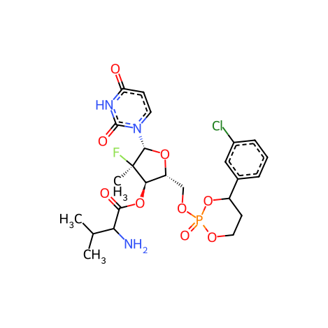 CC(C)C(N)C(=O)O[C@@H]1[C@@H](COP2(=O)OCCC(c3cccc(Cl)c3)O2)O[C@@H](n2ccc(=O)[nH]c2=O)[C@]1(C)F